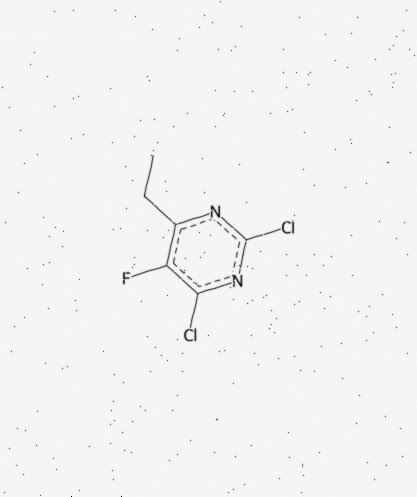 CCc1nc(Cl)nc(Cl)c1F